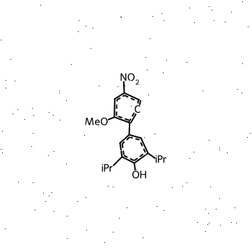 COc1cc([N+](=O)[O-])ccc1-c1cc(C(C)C)c(O)c(C(C)C)c1